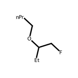 CCCCOC(CC)CF